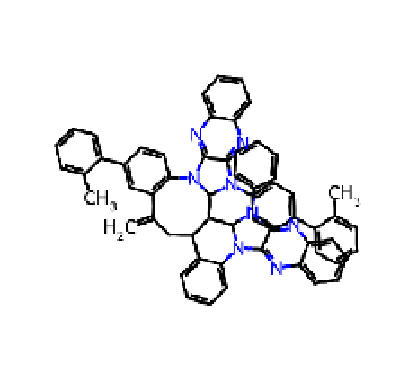 C=C1CC2c3ccccc3N3c4nc5ccccc5nc4N(c4ccccc4)C3C2C2N(c3ccc(-c4ccccc4C)cc3)c3nc4ccccc4nc3N2c2ccc(-c3ccccc3C)cc21